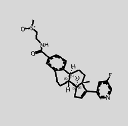 C[S+]([O-])CCNC(=O)c1ccc2c(c1)CC[C@@H]1[C@@H]2CC[C@]2(C)C(c3cncc(F)c3)=CC[C@@H]12